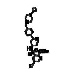 COc1ncc(Cl)cc1S(=O)(=O)NC1C=CN=C(c2ccc(CN3CCN(C4CCC4)CC3)cc2)C1